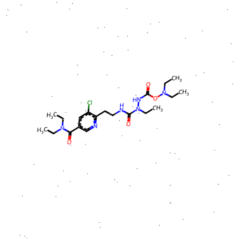 CCN(CC)OC(=O)NN(CC)C(=O)NCCc1ncc(C(=O)N(CC)CC)cc1Cl